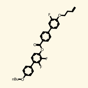 C=CCCOc1ccc(-c2ccc(C(=O)Oc3ccc(-c4ccc(OCCCC)cc4)c(F)c3F)cc2)cc1F